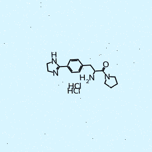 Cl.Cl.NC(Cc1ccc(C2=NCCN2)cc1)C(=O)N1CCCC1